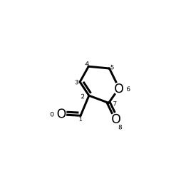 O=CC1=CCCOC1=O